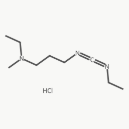 CCN=C=NCCCN(C)CC.Cl